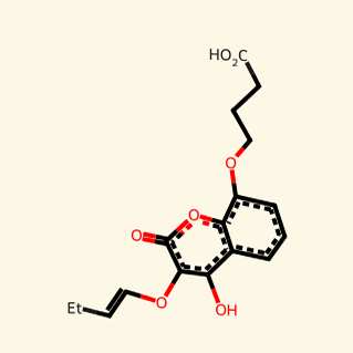 CC/C=C/Oc1c(O)c2cccc(OCCCC(=O)O)c2oc1=O